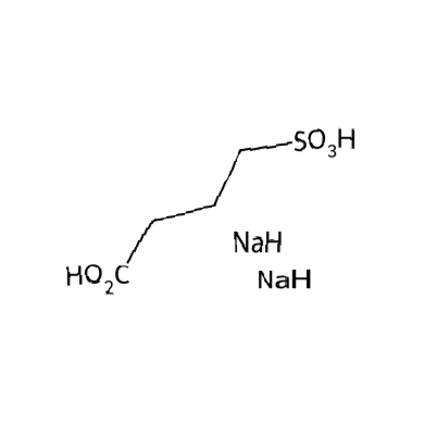 O=C(O)CCCS(=O)(=O)O.[NaH].[NaH]